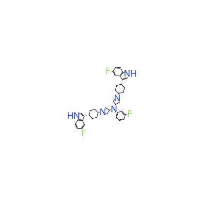 Fc1cccc(N(C2CN([C@H]3CC[C@@H](c4c[nH]c5ccc(F)cc54)CC3)C2)C2CN([C@H]3CC[C@@H](c4c[nH]c5ccc(F)cc54)CC3)C2)c1